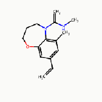 C=Cc1cc(C)c2c(c1)OCCCN2C(=C)NC